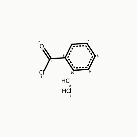 Cl.Cl.O=C(Cl)c1ccccc1